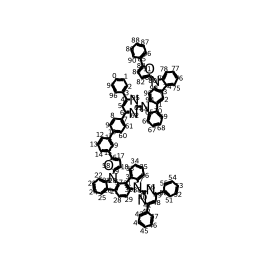 c1ccc(-c2cc(-c3ccc(-c4cccc(-c5ccc(-n6c7ccccc7c7ccc8c(c9ccccc9n8-c8nc(-c9ccccc9)cc(-c9ccccc9)n8)c76)o5)c4)cc3)nc(-n3c4ccccc4c4cc5c6ccccc6n(-c6ccc(-c7ccccc7)o6)c5cc43)n2)cc1